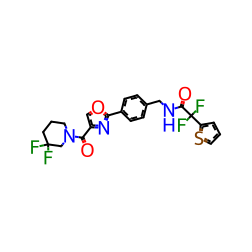 O=C(c1coc(-c2ccc(CNC(=O)C(F)(F)c3cccs3)cc2)n1)N1CCCC(F)(F)C1